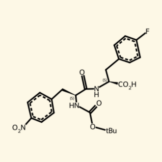 CC(C)(C)OC(=O)N[C@@H](Cc1ccc([N+](=O)[O-])cc1)C(=O)N[C@@H](Cc1ccc(F)cc1)C(=O)O